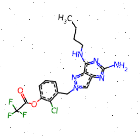 CCCCNc1nc(N)nc2cn(Cc3cccc(OC(=O)C(F)(F)F)c3Cl)nc12